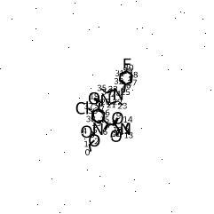 CCOC(=O)n1cc(C(=O)C(=O)N(C)C)c2cc(C(=O)N3C[C@H](C)N(Cc4ccc(F)cc4)C[C@@H]3C)c(Cl)cc21